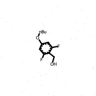 CCCCOc1cc(F)c(CO)c(F)c1